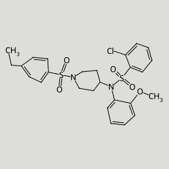 CCc1ccc(S(=O)(=O)N2CCC(N(c3ccccc3OC)S(=O)(=O)c3ccccc3Cl)CC2)cc1